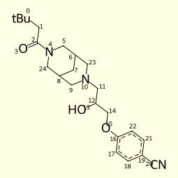 CC(C)(C)CC(=O)N1CC2CC(CN(CC(O)COc3ccc(C#N)cc3)C2)C1